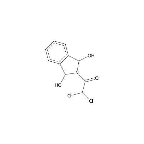 O=C(C(Cl)Cl)N1C(O)c2ccccc2C1O